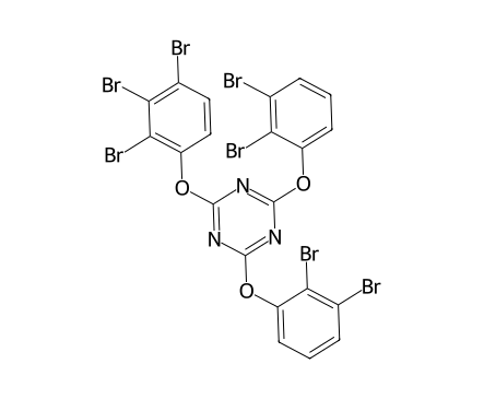 Brc1cccc(Oc2nc(Oc3cccc(Br)c3Br)nc(Oc3ccc(Br)c(Br)c3Br)n2)c1Br